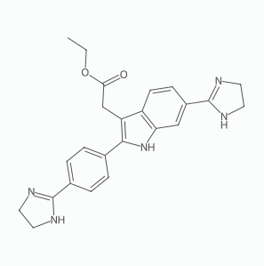 CCOC(=O)Cc1c(-c2ccc(C3=NCCN3)cc2)[nH]c2cc(C3=NCCN3)ccc12